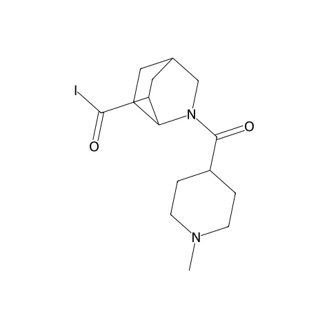 CN1CCC(C(=O)N2CC3CCC2C(C(=O)I)C3)CC1